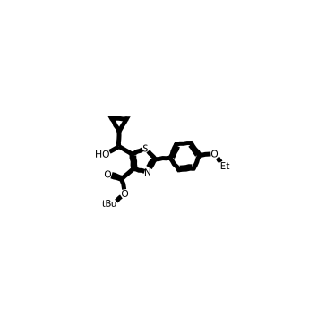 CCOc1ccc(-c2nc(C(=O)OC(C)(C)C)c(C(O)C3CC3)s2)cc1